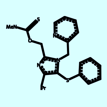 CNC(=S)OCc1nc(C(C)C)c(Sc2ccccc2)n1Cc1ccccn1